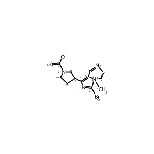 C[N+]12C=CN=CC1=C(C1CCN(C(=O)[O-])C1)N=C2Br